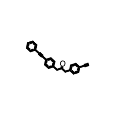 C#Cc1ccc(CC(=O)Cc2ccc(C#Cc3ccccc3)cc2)cc1